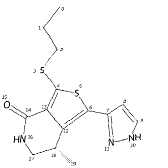 CCCSc1sc(-c2cc[nH]n2)c2c1C(=O)NC[C@H]2C